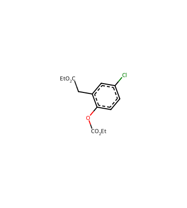 CCOC(=O)Cc1cc(Cl)ccc1OC(=O)OCC